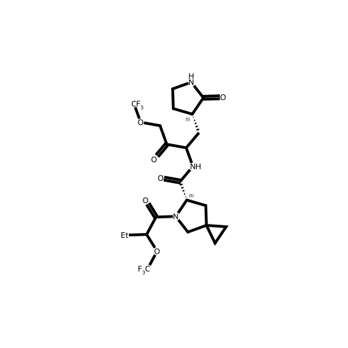 CCC(OC(F)(F)F)C(=O)N1CC2(CC2)C[C@H]1C(=O)NC(C[C@@H]1CCNC1=O)C(=O)COC(F)(F)F